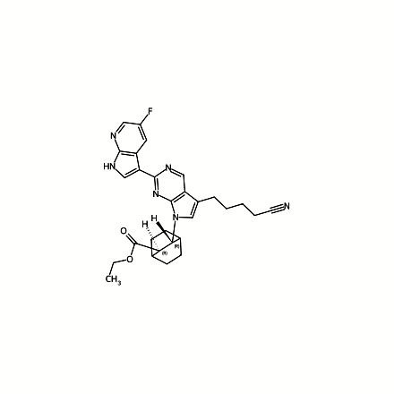 CCOC(=O)[C@@H]1C2CCC(CC2)[C@H]1n1cc(CCCCC#N)c2cnc(-c3c[nH]c4ncc(F)cc34)nc21